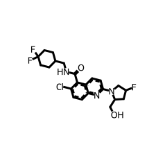 O=C(NCC1CCC(F)(F)CC1)c1c(Cl)ccc2nc(N3CC(F)CC3CO)ccc12